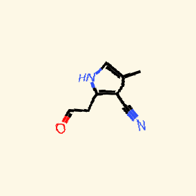 Cc1c[nH]c(CC=O)c1C#N